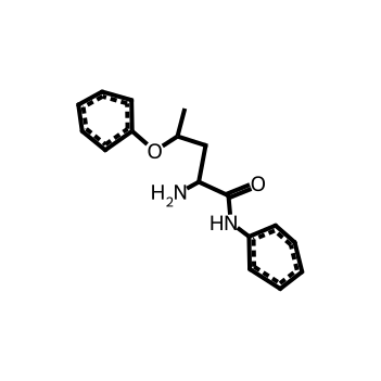 CC(CC(N)C(=O)Nc1ccccc1)Oc1ccccc1